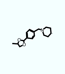 CC1COC(c2ccc(CN3CC[CH]CC3)cc2)O1